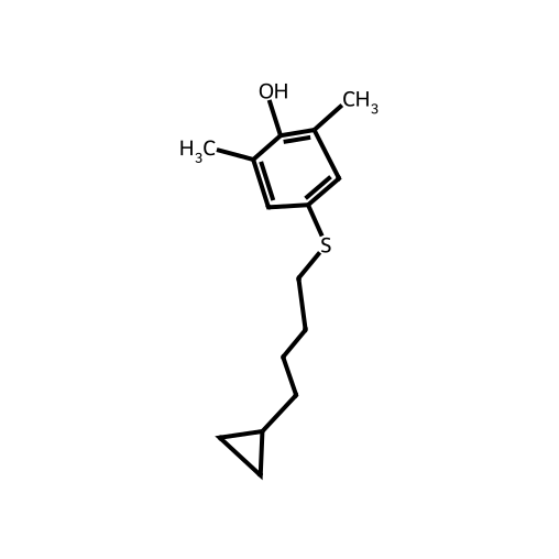 Cc1cc(SCCCCC2CC2)cc(C)c1O